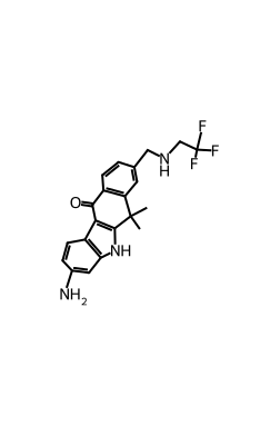 CC1(C)c2cc(CNCC(F)(F)F)ccc2C(=O)c2c1[nH]c1cc(N)ccc21